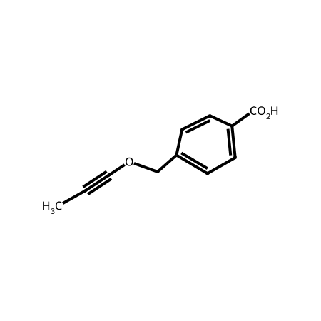 CC#COCc1ccc(C(=O)O)cc1